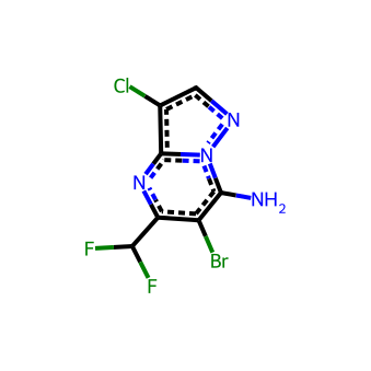 Nc1c(Br)c(C(F)F)nc2c(Cl)cnn12